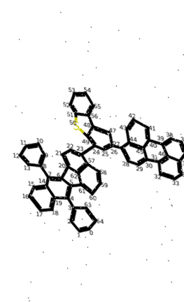 c1ccc(-c2c3c(c(-c4ccccc4)c4ccccc24)-c2ccc(-c4cc(-c5ccc6c7cccc8cccc(c9cccc5c96)c87)cc5c4sc4ccccc45)c4cccc-3c24)cc1